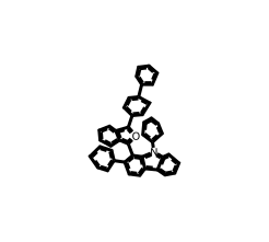 c1ccc(-c2ccc(-c3oc(-c4c(-c5ccccc5)ccc5c6ccccc6n(-c6ccccc6)c45)c4ccccc34)cc2)cc1